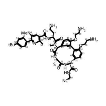 CNc1cc(C(=O)N[C@@H](CCN)C(=O)N(C)[C@@H]2C(=O)N[C@@H](C)C(=O)N[C@H](C(=O)NCC#N)Cc3ccc(OCCN)c(c3)-c3cc2ccc3OCCN)c(C)nc1-c1ccc(C(C)(C)C)cc1